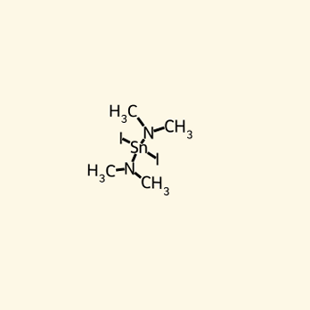 C[N](C)[Sn]([I])([I])[N](C)C